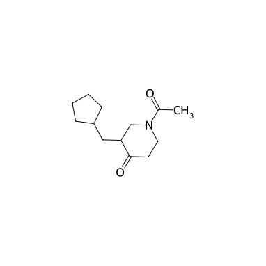 CC(=O)N1CCC(=O)C(CC2CCCC2)C1